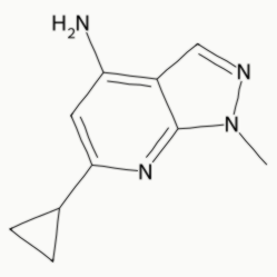 Cn1ncc2c(N)cc(C3CC3)nc21